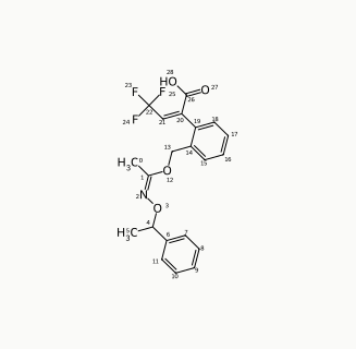 CC(=NOC(C)c1ccccc1)OCc1ccccc1C(=CC(F)(F)F)C(=O)O